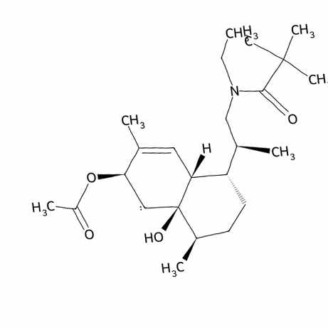 CCN(C[C@@H](C)[C@@H]1CC[C@@H](C)[C@]2(O)[C][C@@H](OC(C)=O)C(C)=C[C@H]12)C(=O)C(C)(C)C